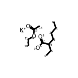 CCCCC(CC)C(=O)[O-].CCOC(C)=O.[K+]